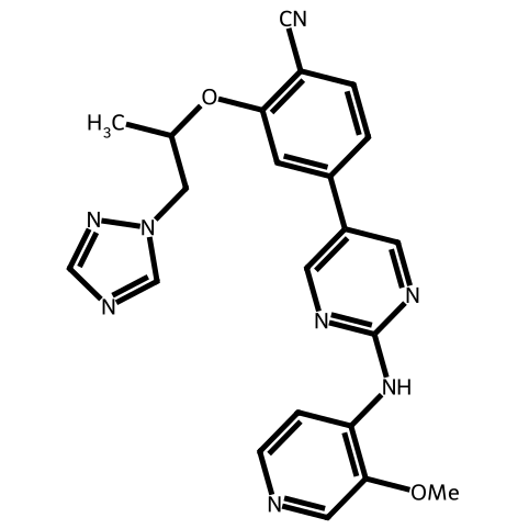 COc1cnccc1Nc1ncc(-c2ccc(C#N)c(OC(C)Cn3cncn3)c2)cn1